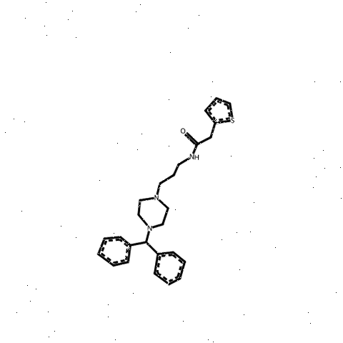 O=C(Cc1cccs1)NCCCN1CCN(C(c2ccccc2)c2ccccc2)CC1